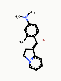 Cc1cc(N(C)C)ccc1C=C1CC[n+]2ccccc21.[Br-]